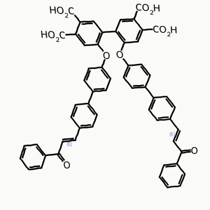 O=C(/C=C/c1ccc(-c2ccc(Oc3cc(C(=O)O)c(C(=O)O)cc3-c3cc(C(=O)O)c(C(=O)O)cc3Oc3ccc(-c4ccc(/C=C/C(=O)c5ccccc5)cc4)cc3)cc2)cc1)c1ccccc1